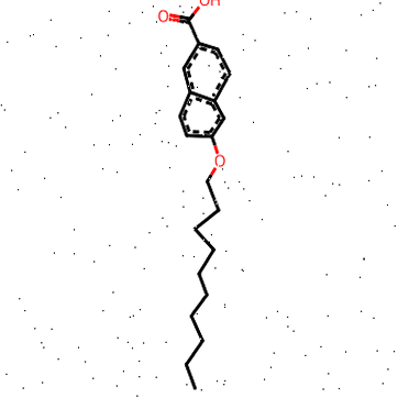 CCCCCCCCCCOc1ccc2cc(C(=O)O)ccc2c1